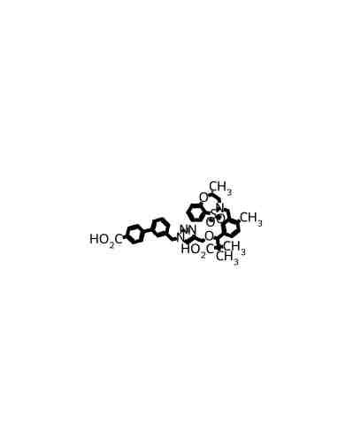 Cc1ccc(C(OCc2cn(Cc3cccc(-c4ccc(C(=O)O)cc4)c3)nn2)C(C)(C)C(=O)O)cc1CN1C[C@@H](C)Oc2ccccc2S1(=O)=O